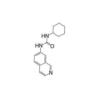 O=C(Nc1ccc2ccncc2c1)NC1CCCCC1